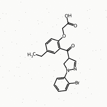 CCc1ccc(OCC(=O)O)c(C(=O)C2C=NN(c3ccccc3Br)C2)c1